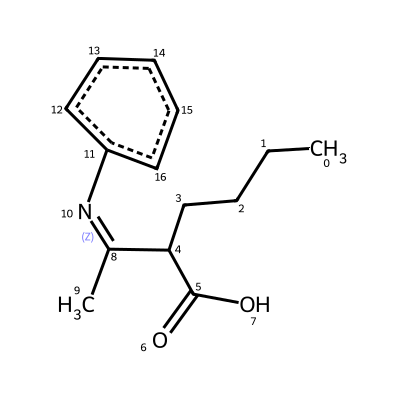 CCCCC(C(=O)O)/C(C)=N\c1ccccc1